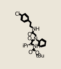 CC(C)[C@H](NC(=O)OC(C)(C)C)C(=O)N(CC(=O)NCCc1ccc(Cl)cc1)c1ccccc1